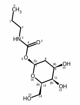 CCCNC(=O)O[C@H]1C[C@@H](O)[C@@H](O)[C@@H](CO)O1